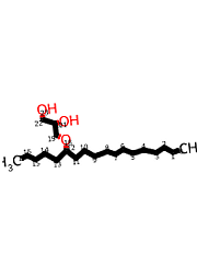 CCCCCCCCCCCCC(CCCCC)OCC(O)CO